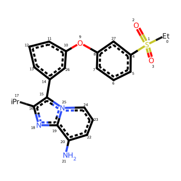 CCS(=O)(=O)c1cccc(Oc2cccc(-c3c(C(C)C)nc4c(N)cccn34)c2)c1